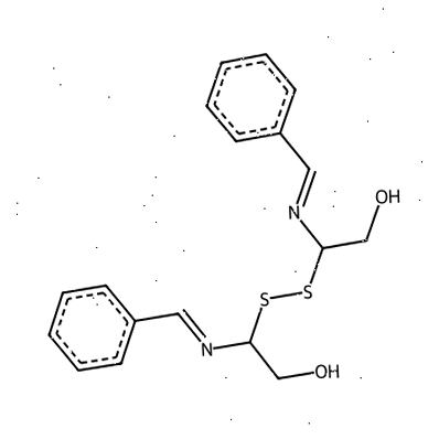 OCC(N=Cc1ccccc1)SSC(CO)N=Cc1ccccc1